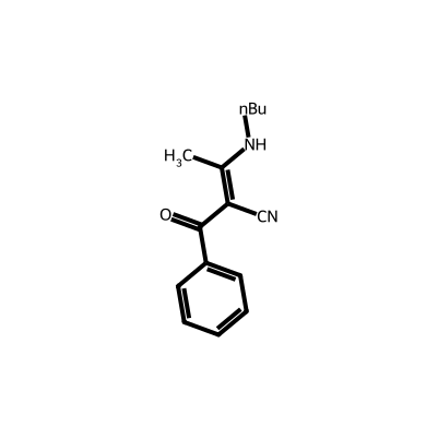 CCCCN/C(C)=C(\C#N)C(=O)c1ccccc1